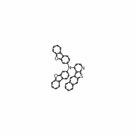 c1ccc2cc3c(cc2c1)sc1nccc(N(c2ccc4c(c2)oc2ccccc24)c2ccc4c(c2)oc2ccccc24)c13